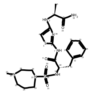 C[C@H](Nc1csc(NC(=O)[C@H](Cc2ccccc2)NS(=O)(=O)N2CCCN(C)CC2)n1)C(N)=O